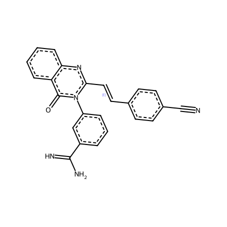 N#Cc1ccc(/C=C/c2nc3ccccc3c(=O)n2-c2cccc(C(=N)N)c2)cc1